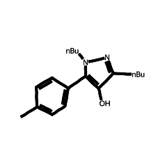 CCCCc1nn(CCCC)c(-c2ccc(C)cc2)c1O